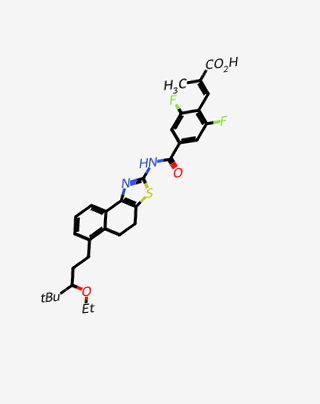 CCOC(CCc1cccc2c1CCc1sc(NC(=O)c3cc(F)c(/C=C(\C)C(=O)O)c(F)c3)nc1-2)C(C)(C)C